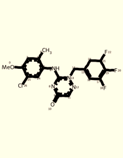 COc1cc(C)c(Nc2nc(=O)cnn2CC2=CC(F)=C(F)C(F)C2)cc1Cl